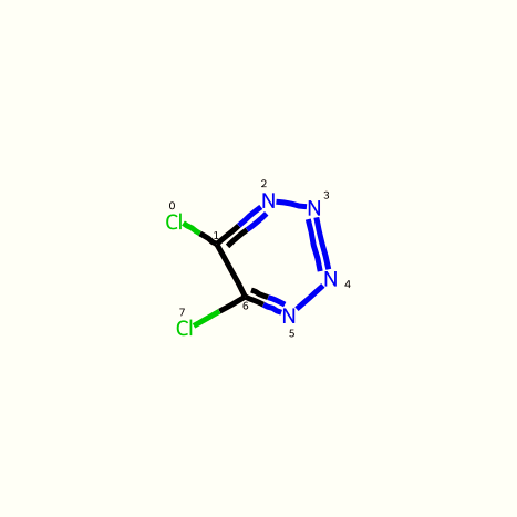 Clc1nnnnc1Cl